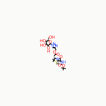 CC(C)(C)OC(=O)N[C@@H]1C(=O)N2[C@@H]1SC(C)(C)[C@@H]2CC(=O)OCc1cn([C@@H]2O[C@H](CO)[C@@H](O)[C@H](O)[C@H]2O)nn1